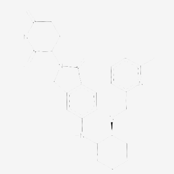 Cc1cccc(CN[C@H]2CCCCC2Nc2ccc3c(c2)CN(C2CCC(=O)NC2=O)C3=O)n1